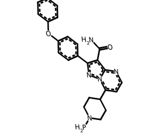 NC(=O)c1c(-c2ccc(Oc3ccccc3)cc2)nn2c(C3CCN(P)CC3)ccnc12